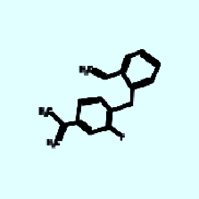 C=Cc1ccccc1Cc1ccc(C(=C)C)cc1F